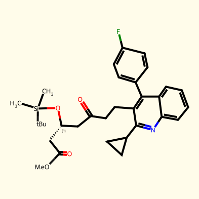 COC(=O)C[C@@H](CC(=O)CCc1c(C2CC2)nc2ccccc2c1-c1ccc(F)cc1)O[Si](C)(C)C(C)(C)C